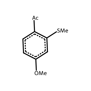 COc1ccc(C(C)=O)c(SC)c1